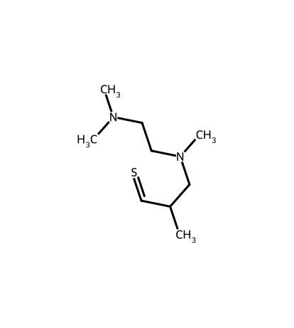 CC(C=S)CN(C)CCN(C)C